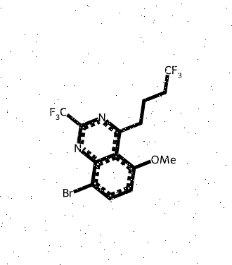 COc1ccc(Br)c2nc(C(F)(F)F)nc(CCCC(F)(F)F)c12